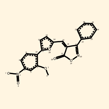 COc1cc([N+](=O)[O-])ccc1-c1ccc(C=C2C(=O)ON=C2c2ccccc2)o1